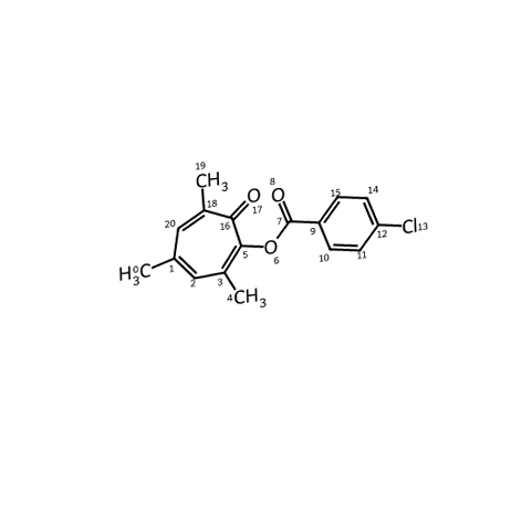 Cc1cc(C)c(OC(=O)c2ccc(Cl)cc2)c(=O)c(C)c1